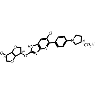 O=C(O)[C@H]1CCN(c2ccc(-c3nc4nc(O[C@@H]5COC6C5OC[C@H]6O)[nH]c4cc3Cl)cc2)C1